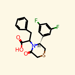 O=C(O)C(Cc1ccccc1)N1C(=O)CSC[C@H]1c1cc(F)cc(F)c1